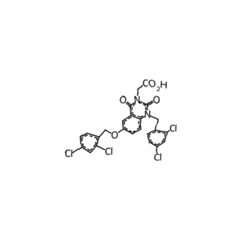 O=C(O)Cn1c(=O)c2cc(OCc3ccc(Cl)cc3Cl)ccc2n(Cc2ccc(Cl)cc2Cl)c1=O